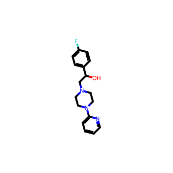 OC(CN1CCN(c2ccccn2)CC1)c1ccc(F)cc1